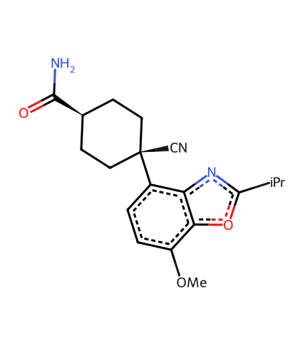 COc1ccc([C@]2(C#N)CC[C@@H](C(N)=O)CC2)c2nc(C(C)C)oc12